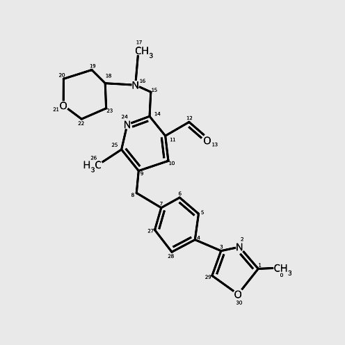 Cc1nc(-c2ccc(Cc3cc(C=O)c(CN(C)C4CCOCC4)nc3C)cc2)co1